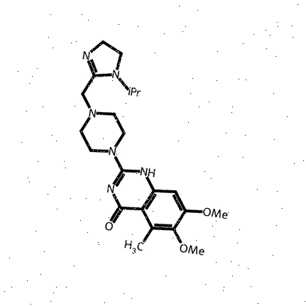 COc1cc2[nH]c(N3CCN(CC4=NCCN4C(C)C)CC3)nc(=O)c2c(C)c1OC